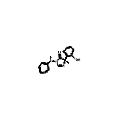 CSc1ccccc1[C@]1(C)N=CN(Nc2ccccc2)C1=O